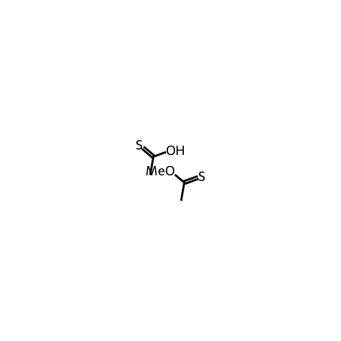 CC(O)=S.COC(C)=S